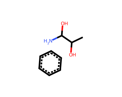 CC(O)C(N)O.c1ccccc1